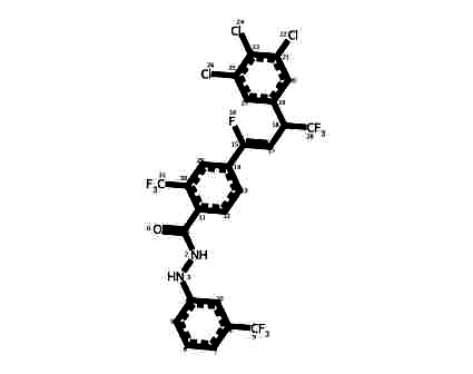 O=C(NNc1cccc(C(F)(F)F)c1)c1ccc(C(F)=CC(c2cc(Cl)c(Cl)c(Cl)c2)C(F)(F)F)cc1C(F)(F)F